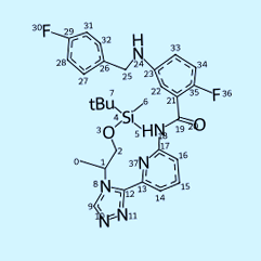 CC(CO[Si](C)(C)C(C)(C)C)n1cnnc1-c1cccc(NC(=O)c2cc(NCc3ccc(F)cc3)ccc2F)n1